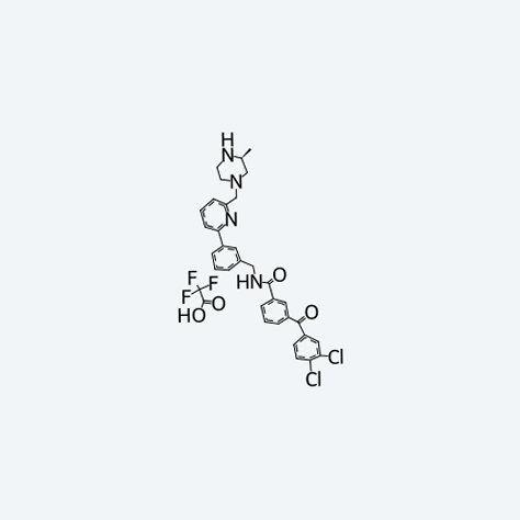 C[C@H]1CN(Cc2cccc(-c3cccc(CNC(=O)c4cccc(C(=O)c5ccc(Cl)c(Cl)c5)c4)c3)n2)CCN1.O=C(O)C(F)(F)F